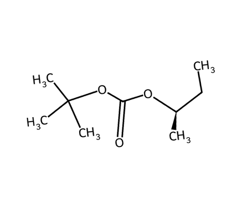 CC[C@@H](C)OC(=O)OC(C)(C)C